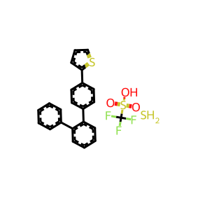 O=S(=O)(O)C(F)(F)F.S.c1ccc(-c2ccccc2-c2ccc(-c3cccs3)cc2)cc1